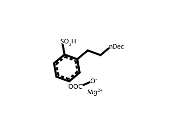 CCCCCCCCCCCCc1ccccc1S(=O)(=O)O.O=C([O-])[O-].[Mg+2]